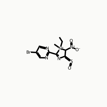 CC[N+]1(C)C(c2ncc(Br)cn2)=NC(=S=O)C1[N+](=O)[O-]